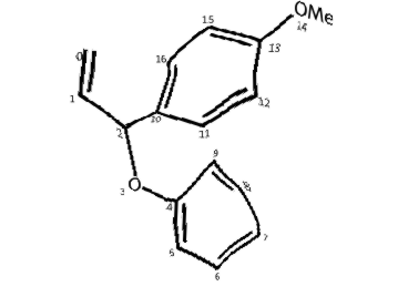 C=CC(Oc1ccccc1)c1ccc(OC)cc1